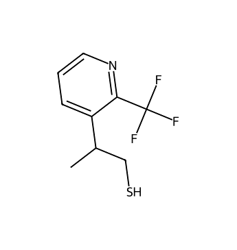 CC(CS)c1cccnc1C(F)(F)F